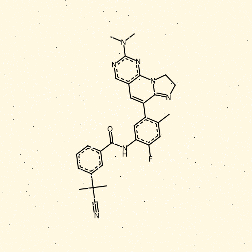 Cc1cc(F)c(NC(=O)c2cccc(C(C)(C)C#N)c2)cc1C1=Cc2cnc(N(C)C)nc2N2CCN=C12